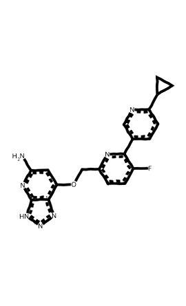 Nc1cc(OCc2ccc(F)c(-c3ccc(C4CC4)nc3)n2)c2nn[nH]c2n1